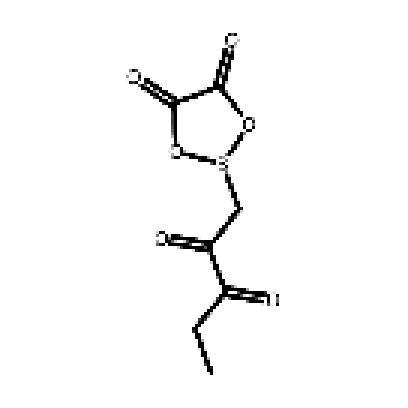 CCC(=O)C(=O)CB1OC(=O)C(=O)O1